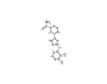 NC(=O)c1ccnc(-c2cn(Cc3cccc(Cl)c3Cl)cn2)c1